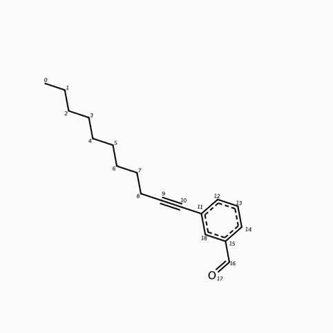 CCCCCCCCCC#Cc1cccc(C=O)c1